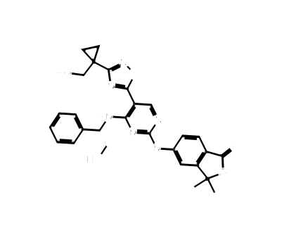 CC1(C)OC(=O)c2ccc(Nc3ncc(-c4nc(C5(CO)CC5)no4)c(N[C@H](CO)c4ccccc4)n3)cc21